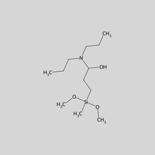 CCCN(CCC)C(O)CC[Si](C)(OC)OC